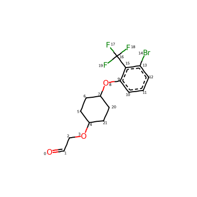 O=CCOC1CCC(Oc2cccc(Br)c2C(F)(F)F)CC1